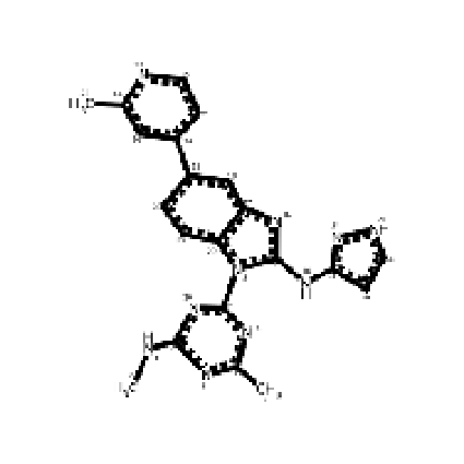 CNc1nc(C)nc(-n2c(Nc3cc[nH]n3)nc3cc(-c4ccnc(C)c4)ccc32)n1